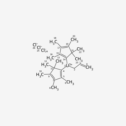 C=C[CH2][U+3]([C]1=C(C)C(C)=C(C)C1(C)C)[C]1=C(C)C(C)=C(C)C1(C)C.[Cl-].[Cl-].[Cl-]